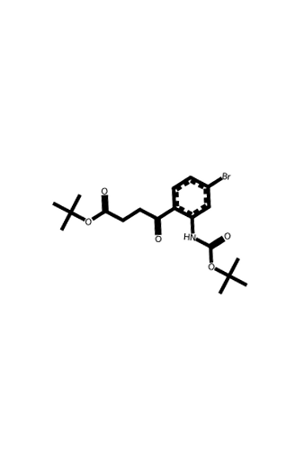 CC(C)(C)OC(=O)CCC(=O)c1ccc(Br)cc1NC(=O)OC(C)(C)C